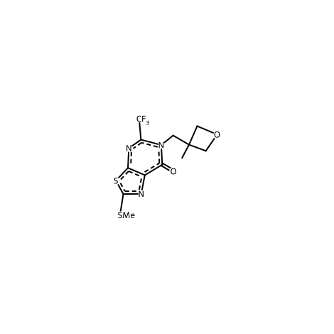 CSc1nc2c(=O)n(CC3(C)COC3)c(C(F)(F)F)nc2s1